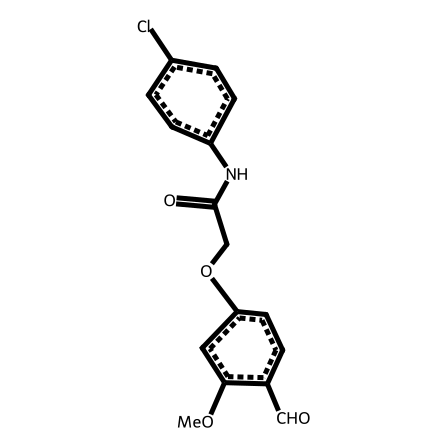 COc1cc(OCC(=O)Nc2ccc(Cl)cc2)ccc1C=O